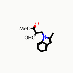 COC(=O)C(C=O)Cn1c(C)cc2c1=CCCC=2